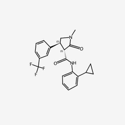 CN1C[C@H](c2cccc(C(F)(F)F)c2)[C@@H](C(=O)Nc2ccccc2C2CC2)C1=O